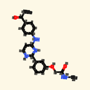 CNC(=O)c1ccc(Nc2ccnc(-c3cccc(OCC(=O)NC(C)(C)C)c3)n2)cc1